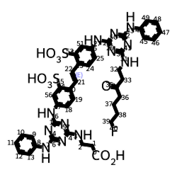 O=C(O)CCNc1nc(Nc2ccccc2)nc(Nc2ccc(/C=C/c3ccc(Nc4nc(NCCC(=O)CCCCF)nc(Nc5ccccc5)n4)cc3S(=O)(=O)O)c(S(=O)(=O)O)c2)n1